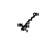 N=C(N)NCOCCCCO